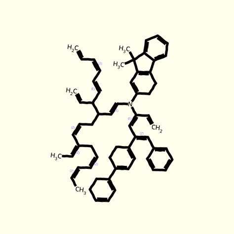 C=C/C=C\C=C\C(C=C)C(/C=C/N(C1=CC2=C(CC1)c1ccccc1C2(C)C)/C(C=C)=C/C(=C/c1ccccc1)C1=CC=C(C2=CC=CCC2)CC1)C/C=C\C(=C/C)C/C=C\C=C/C